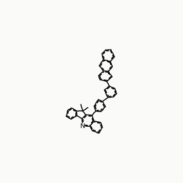 CC1(C)c2ccccc2-c2nc3ccccc3c(-c3ccc(-c4cccc(-c5ccc6cc7ccccc7cc6c5)c4)cc3)c21